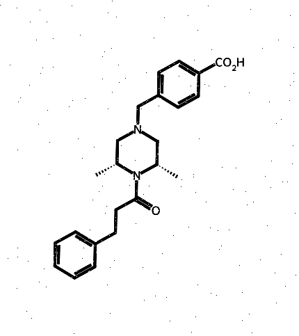 C[C@@H]1CN(Cc2ccc(C(=O)O)cc2)C[C@H](C)N1C(=O)CCc1ccccc1